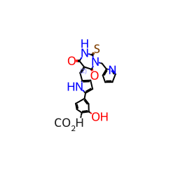 O=C1NC(=S)N(Cc2ccccn2)C(=O)/C1=C\c1ccc(-c2ccc(C(=O)O)c(O)c2)[nH]1